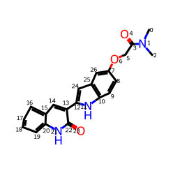 CN(C)C(=O)COc1ccc2[nH]c(-c3cc4ccccc4[nH]c3=O)cc2c1